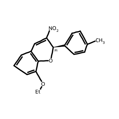 CCOc1cccc2c1O[C@H](c1ccc(C)cc1)C([N+](=O)[O-])=C2